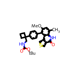 COc1cc(C)c2[nH]c(=O)c3cscc3c2c1-c1ccc(C2(CNC(=O)OC(C)(C)C)CCC2)cc1